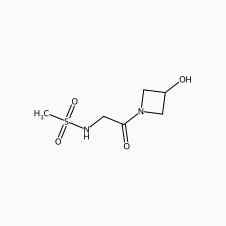 CS(=O)(=O)NCC(=O)N1CC(O)C1